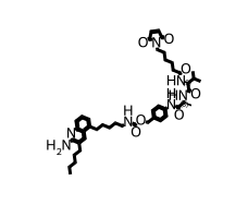 CCCCCc1cc2c(CCCCCNC(=O)OCc3ccc(NC(=O)[C@H](C)NC(=O)[C@@H](NC(=O)CCCCCN4C(=O)C=CC4=O)C(C)C)cc3)cccc2nc1N